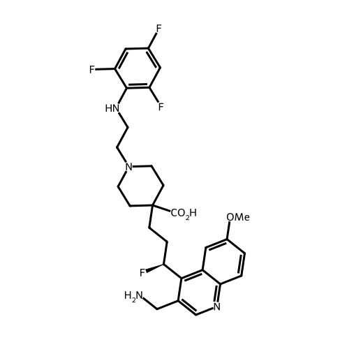 COc1ccc2ncc(CN)c([C@@H](F)CCC3(C(=O)O)CCN(CCNc4c(F)cc(F)cc4F)CC3)c2c1